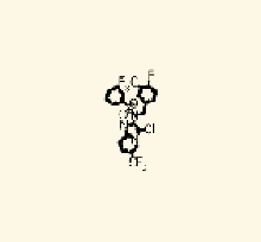 O=S(=O)(c1ccccc1)N(Cc1ccc(F)c(C(F)(F)F)c1)c1nc2ccc(C(F)(F)F)cn2c1Cl